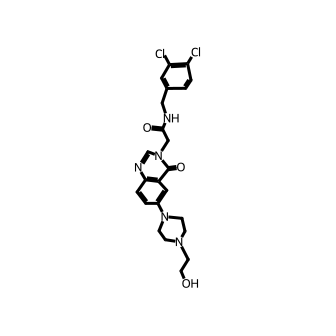 O=C(Cn1cnc2ccc(N3CCN(CCO)CC3)cc2c1=O)NCc1ccc(Cl)c(Cl)c1